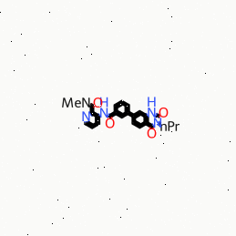 CCCn1c(=O)[nH]c2cc(-c3cccc(C(=O)Nc4cccnc4C(=O)NC)c3)ccc2c1=O